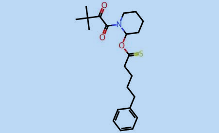 CC(C)(C)C(=O)C(=O)N1CCCCC1OC(=S)CCCCc1ccccc1